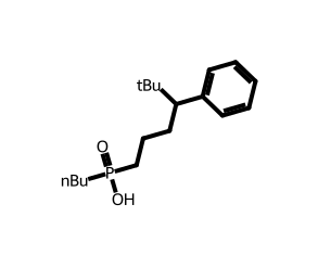 CCCCP(=O)(O)CCCC(c1ccccc1)C(C)(C)C